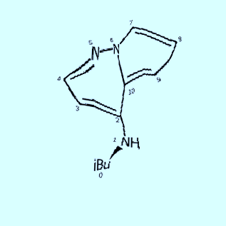 CC[C@H](C)Nc1ccnn2cccc12